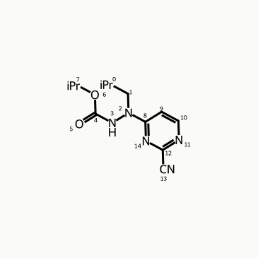 CC(C)CN(NC(=O)OC(C)C)c1ccnc(C#N)n1